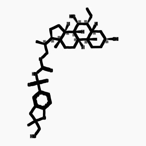 CC[C@H]1[C@@H](O)[C@@H]2[C@H](CC[C@]3(C)[C@@H]([C@H](C)COC(=O)NS(=O)(=O)c4ccc5c(c4)CC(C)(CO)O5)CC[C@@H]23)[C@@]2(C)CC[C@@H](O)C[C@@H]12